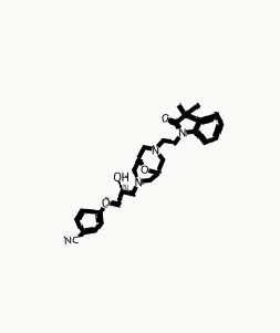 CC1(C)C(=O)N(CCN2CC3CN(C[C@H](O)COc4ccc(C#N)cc4)CC(C2)O3)c2ccccc21